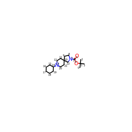 CC(C)(C)OC(=O)N1CCC2(CCN(C3CCCCC3)CC2)C1